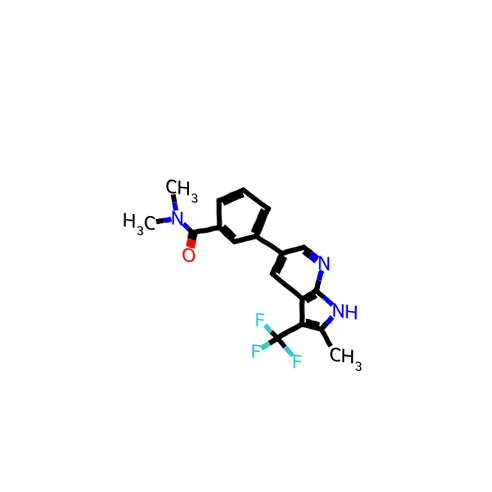 Cc1[nH]c2ncc(-c3cccc(C(=O)N(C)C)c3)cc2c1C(F)(F)F